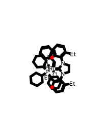 CCc1cccc(CC)c1N1CCN(c2c(CC)cccc2CC)[C]1=[Ru]([Cl])([Cl])(=[CH]c1ccccc1)[PH](C1CCCCC1)(C1CCCCC1)C1CCCCC1